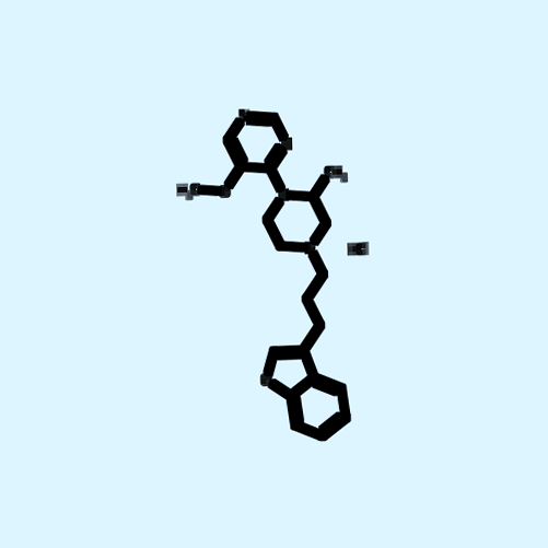 COc1cncnc1N1CCN(CCCc2coc3ccccc23)CC1C.Cl